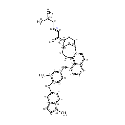 Cc1cc(Nc2ncnc3ccc4c(c23)OC[C@@H]2CN4CCN2C(=O)/C=C/CN(C)C)ccc1Oc1ccc2c(c1)ncn2C